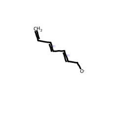 C=C/C=C/C=C/C[O]